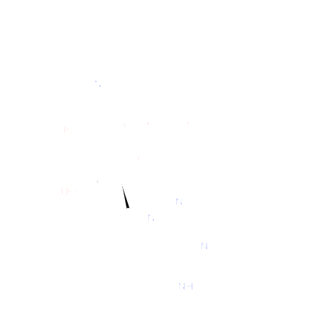 CC(COC(=O)O[C@@]1(C#N)O[C@@H](c2ccc3c(N)ncnn23)[C@H](O)[C@@H]1O)c1ccccc1